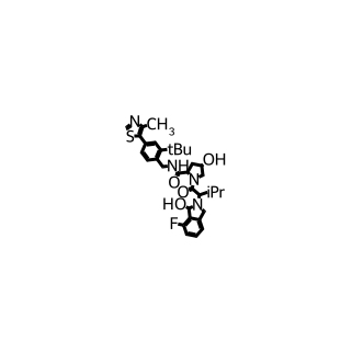 Cc1ncsc1-c1ccc(CNC(=O)C2CC(O)CN2C(=O)C(C(C)C)N2Cc3cccc(F)c3C2O)c(C(C)(C)C)c1